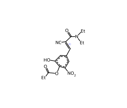 CCC(=O)Oc1c(O)cc(/C=C(\C#N)C(=O)N(CC)CC)cc1[N+](=O)[O-]